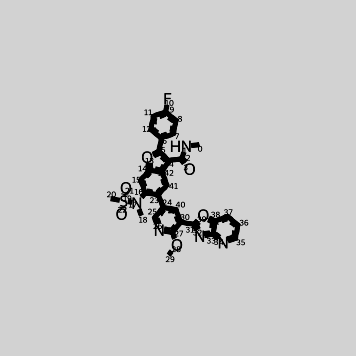 CNC(=O)c1c(-c2ccc(F)cc2)oc2cc(N(C)S(C)(=O)=O)c(-c3cnc(OC)c(-c4nc5ncccc5o4)c3)cc12